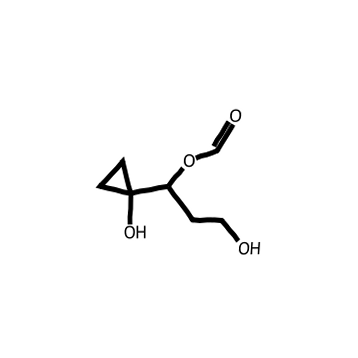 O=COC(CCO)C1(O)CC1